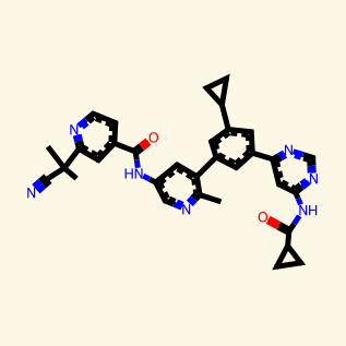 Cc1ncc(NC(=O)c2ccnc(C(C)(C)C#N)c2)cc1-c1cc(-c2cc(NC(=O)C3CC3)ncn2)cc(C2CC2)c1